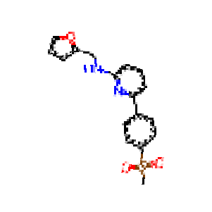 CS(=O)(=O)c1ccc(-c2cccc(NCc3ccco3)n2)cc1